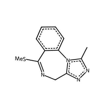 CSC1=NCc2nnc(C)n2-c2ccccc21